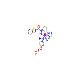 COCCOc1ccc(Nc2ncc(F)c(NC3CCCC(NC(=O)c4cc5c(s4)CCCC5)C3O)n2)cc1